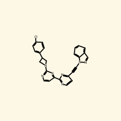 Clc1ccc(C2CN(c3nccc(-c4nccc(C#Cn5ncc6ccccc65)n4)n3)C2)cc1